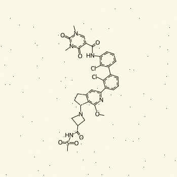 COc1nc(-c2cccc(-c3cccc(NC(=O)c4cn(C)c(=O)n(C)c4=O)c3Cl)c2Cl)cc2c1C(N1CC(C(=O)NS(C)(=O)=O)C1)CC2